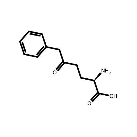 N[C@H](CCC(=O)Cc1ccccc1)C(=O)O